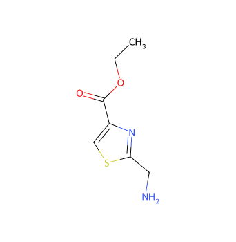 CCOC(=O)c1csc(CN)n1